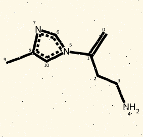 C=C(CCN)n1cnc(C)c1